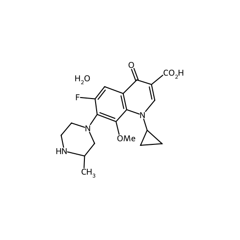 COc1c(N2CCNC(C)C2)c(F)cc2c(=O)c(C(=O)O)cn(C3CC3)c12.O